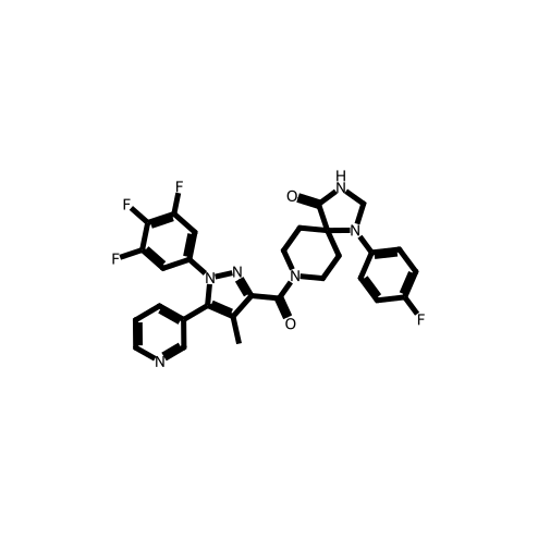 Cc1c(C(=O)N2CCC3(CC2)C(=O)NCN3c2ccc(F)cc2)nn(-c2cc(F)c(F)c(F)c2)c1-c1cccnc1